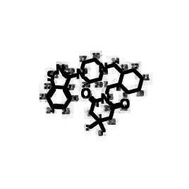 CC1(C)CC(=O)N(CC2CCCCC2CN2CCN(c3nsc4ccccc34)CC2)C(=O)C1